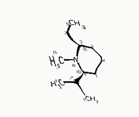 CC[C@H]1CCC[C@@H](C(C)C)N1C